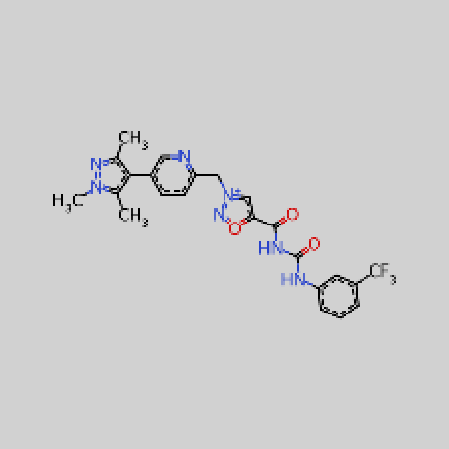 Cc1nn(C)c(C)c1-c1ccc(C[n+]2cc(C(=O)NC(=O)Nc3cccc(C(F)(F)F)c3)on2)nc1